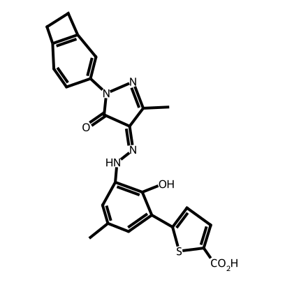 CC1=NN(c2ccc3c(c2)CC3)C(=O)C1=NNc1cc(C)cc(-c2ccc(C(=O)O)s2)c1O